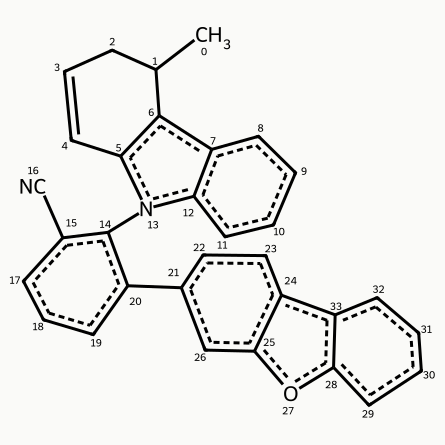 CC1CC=Cc2c1c1ccccc1n2-c1c(C#N)cccc1-c1ccc2c(c1)oc1ccccc12